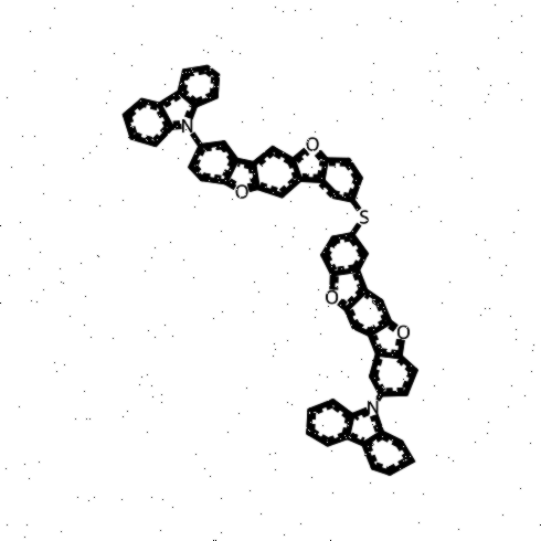 c1ccc2c(c1)c1ccccc1n2-c1ccc2oc3cc4c(cc3c2c1)oc1ccc(Sc2ccc3oc5cc6c(cc5c3c2)oc2ccc(-n3c5ccccc5c5ccccc53)cc26)cc14